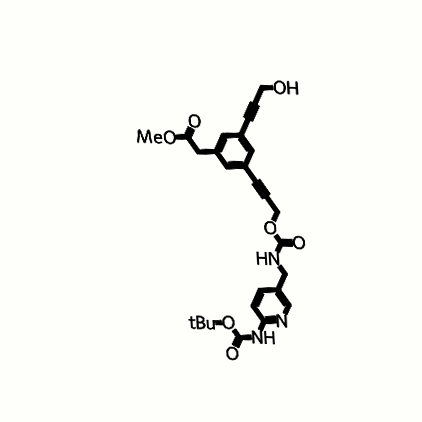 COC(=O)Cc1cc(C#CCO)cc(C#CCOC(=O)NCc2ccc(NC(=O)OC(C)(C)C)nc2)c1